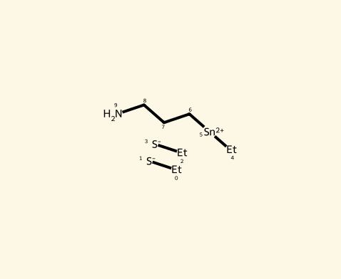 CC[S-].CC[S-].C[CH2][Sn+2][CH2]CCN